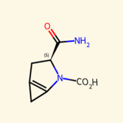 NC(=O)[C@@H]1CC2=C(C2)N1C(=O)O